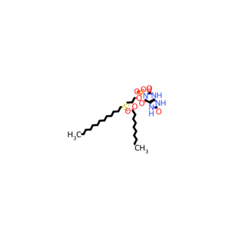 CCCCCCCCCCCCC[S+]([O-])CC(COP(=O)(O)n1c(=O)[nH]c2[nH]c(=O)[nH]c2c1=O)OCCCCCCCCCC